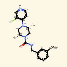 COc1cccc(CNC(=O)N2C[C@@H](C)N(c3ccncc3F)C[C@H]2C)c1